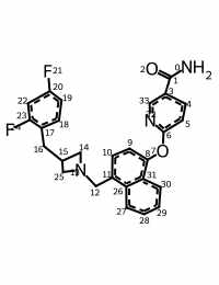 NC(=O)c1ccc(Oc2ccc(CN3CC(Cc4ccc(F)cc4F)C3)c3ccccc23)nc1